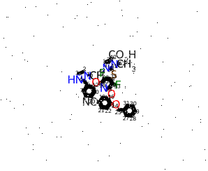 CN1CCNC1c1ccccc1Oc1nc(Oc2cc(C#N)ccc2OCc2ccccc2)c(F)c(Sc2ncc(C(=O)O)n2C)c1F